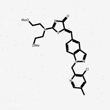 COCCN(CCOC)C1=NC(=O)/C(=C/c2ccc3c(cnn3Cc3ncc(C)cc3Cl)c2)S1